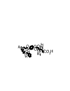 CC(=O)N(CCC(=O)Nc1ccc(OC(O)C(O)C(O)C(O)C(C)C(=O)O)cc1)C(C)(C)CC(C)(C)NC(=O)c1ccccc1